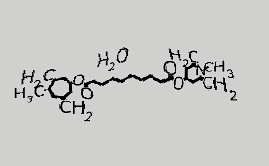 C=C1CC(OC(=O)CCCCCCCCC(=O)OC2CC(=C)N(C)C(=C)C2)CC(=C)[C@@H](C)C1.O